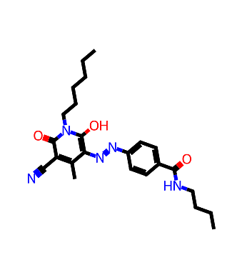 CCCCCCn1c(O)c(/N=N/c2ccc(C(=O)NCCCC)cc2)c(C)c(C#N)c1=O